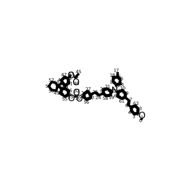 COc1ccc(C=Cc2ccc(N(c3ccc(C)cc3)c3ccc(C=Cc4ccc(OC(=O)Oc5ccc(C6(c7ccc(OC(C)=O)cc7)CCCCC6)cc5)cc4)cc3)cc2)cc1